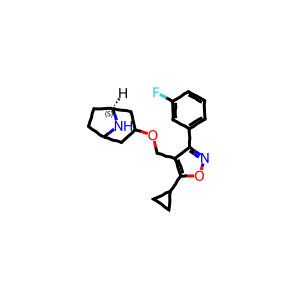 Fc1cccc(-c2noc(C3CC3)c2COC2CC3CC[C@@H](C2)N3)c1